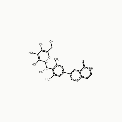 Cc1cc(-c2ccc3cc[nH]c(=O)c3c2)cc(C)c1[C@H](O)[C@H]1OC(CO)=C(O)C(O)=C1O